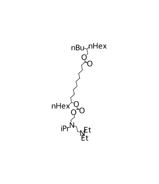 CCCCCCC(CCCC)COC(=O)CCCCCCCCCC(CCCCCC)OC(=O)OCCN(CCN(CC)CC)C(C)C